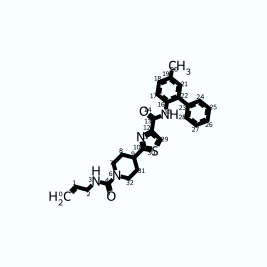 C=CCNC(=O)N1CCC(c2nc(C(=O)Nc3ccc(C)cc3-c3ccccc3)cs2)CC1